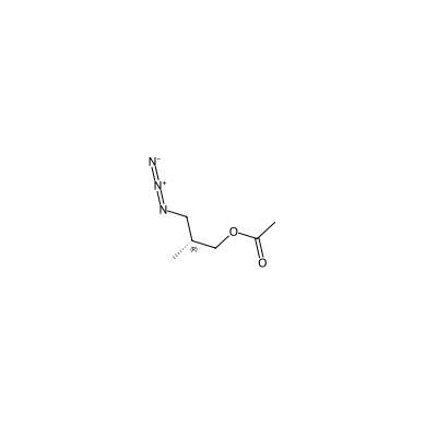 CC(=O)OC[C@H](C)CN=[N+]=[N-]